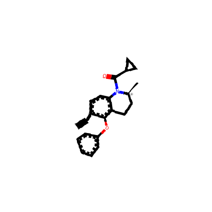 C#Cc1ccc2c(c1Oc1ccccc1)CC[C@H](C)N2C(=O)C1CC1